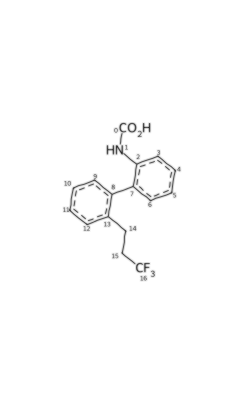 O=C(O)Nc1ccccc1-c1ccccc1CCC(F)(F)F